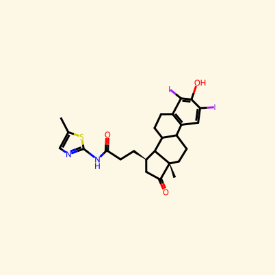 Cc1cnc(NC(=O)CC[C@@H]2CC(=O)[C@@]3(C)CCC4c5cc(I)c(O)c(I)c5CCC4C23)s1